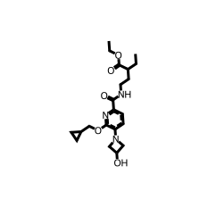 CCOC(=O)C(CC)CCNC(=O)c1ccc(N2CC(O)C2)c(OCC2CC2)n1